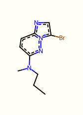 CCCN(C)c1ccc2ncc(Br)n2n1